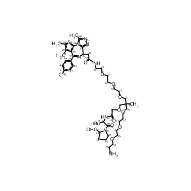 CCCCC(NC(=O)COCC(C)(COCCOCCOCCN)COCCOCCOCCNC(=O)CC1N=C(c2ccc(Cl)cc2)c2c(sc(C)c2C)-n2c(C)nnc21)C(=O)N1CCCC1C=O